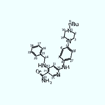 CCCCN1CCN(c2ccc(Nc3cc(NCc4ccccc4)c(C(N)=O)cn3)cc2)CC1